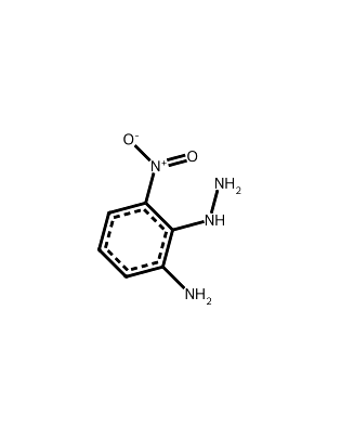 NNc1c(N)cccc1[N+](=O)[O-]